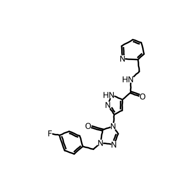 O=C(NCc1ccccn1)c1cc(-n2cnn(Cc3ccc(F)cc3)c2=O)n[nH]1